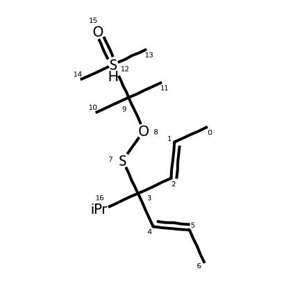 CC=CC(C=CC)(SOC(C)(C)[SH](C)(C)=O)C(C)C